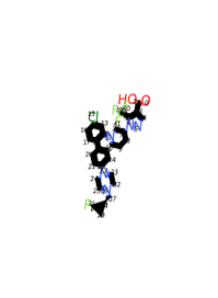 O=C(O)c1cnn(C2CCCN(c3cc(Cl)ccc3-c3ccc(N4CCN(C[C@H]5C[C@H]5F)CC4)cc3)C2)c1C(F)(F)F